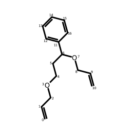 C=CCOCCC(OCC=C)c1ccccc1